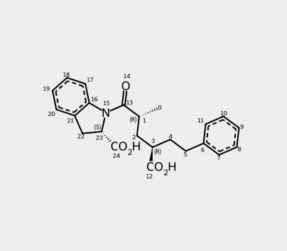 C[C@H](C[C@@H](CCc1ccccc1)C(=O)O)C(=O)N1c2ccccc2C[C@H]1C(=O)O